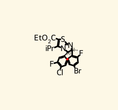 CCOC(=O)C1=C(C(C)C)N2C(=N[C@@](C)(c3ccc(Br)cc3F)[C@H]2c2ccc(Cl)c(F)c2)S1